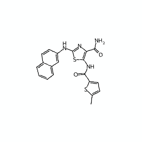 Cc1ccc(C(=O)Nc2sc(Nc3ccc4ccccc4c3)nc2C(N)=O)s1